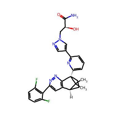 CC1(C)[C@H]2CC[C@]1(c1cccc(-c3cnn(C[C@H](O)C(N)=O)c3)n1)c1nnc(-c3c(F)cccc3F)cc12